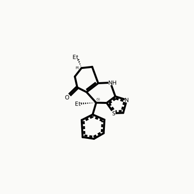 CC[C@H]1CC(=O)C2=C(C1)Nc1ncsc1[C@@]2(CC)c1ccccc1